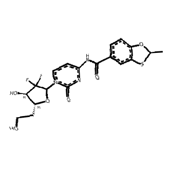 CC1Oc2ccc(C(=O)Nc3ccn(C4O[C@H](CCO)[C@@H](O)C4(F)F)c(=O)n3)cc2S1